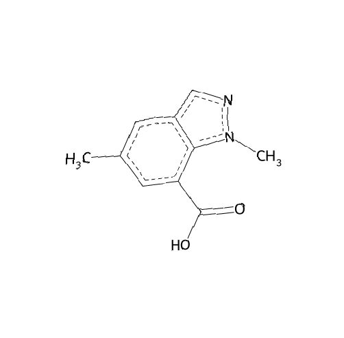 Cc1cc(C(=O)O)c2c(cnn2C)c1